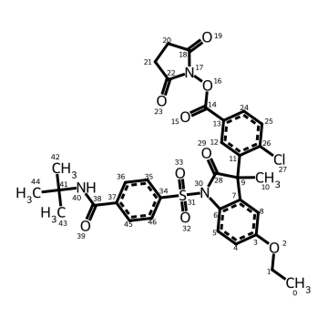 CCOc1ccc2c(c1)C(C)(c1cc(C(=O)ON3C(=O)CCC3=O)ccc1Cl)C(=O)N2S(=O)(=O)c1ccc(C(=O)NC(C)(C)C)cc1